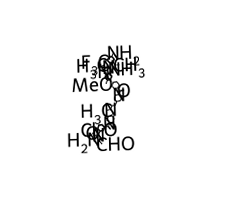 COc1cc2nc(C)nc(N[C@H](C)c3cc(N)cc(C(F)(F)F)c3)c2cc1[C@H]1CC[C@H](C(=O)N2CCC(CCN(C)CC3CCN(C(=O)c4ccc(Cl)c(N(CCC=O)C(N)=O)c4)CC3)CC2)CC1